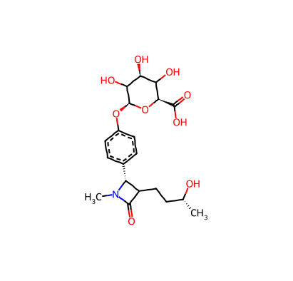 C[C@@H](O)CCC1C(=O)N(C)[C@@H]1c1ccc(O[C@@H]2O[C@H](C(=O)O)C(O)[C@H](O)C2O)cc1